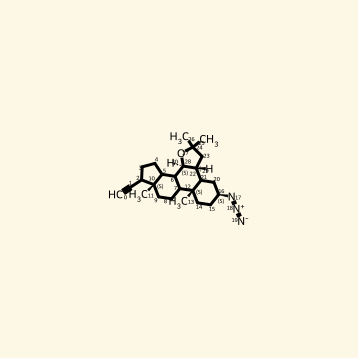 C#CC1CCC2C3C(CC[C@]12C)[C@@]1(C)CC[C@H](N=[N+]=[N-])CC1[C@H]1CC(C)(C)O[C@H]31